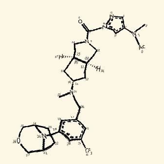 CC(=O)N(C)c1cnn(C(=O)N2C[C@H]3C[C@@H](N(C)Cc4cc(N5C6CCC5COC6)cc(C(F)(F)F)c4)C[C@H]3C2)c1